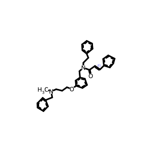 CN(CCCOc1cccc(CN(CCc2ccccc2)C(=O)/C=C/c2ccccc2)c1)Cc1ccccc1